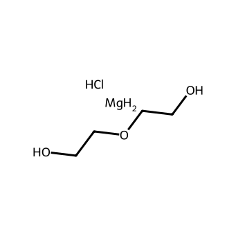 Cl.OCCOCCO.[MgH2]